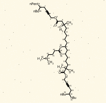 CCCCCC(CC#CCOC(=O)CC(C)(C)CCCCCC(CCCCCC(C)(C)C(=O)OCC#CCC(CCCC)CCCC)OC(=O)CCCN(C)C)CCCC